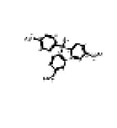 CC[P+](c1ccc(OC)cc1)(c1ccc(OC)cc1)c1ccc(OC)cc1